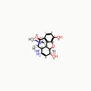 CN1CC[C@]23c4c5ccc(O)c4O[C@H]2[C@@H](O)C=C[C@@]3(N)[C@H]1C5=O